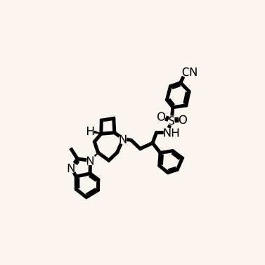 Cc1nc2ccccc2n1[C@H]1CCN(CCC(CNS(=O)(=O)c2ccc(C#N)cc2)c2ccccc2)C2CC[C@H]2C1